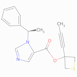 CC#CC1(OC(=O)c2cncn2[C@H](C)c2ccccc2)CSC1